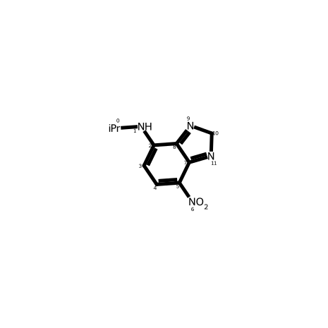 CC(C)Nc1ccc([N+](=O)[O-])c2c1=NCN=2